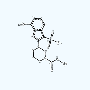 COc1nccc2c1cc(C1CCCN(C(=O)OC(C)(C)C)C1)n2S(C)(=O)=O